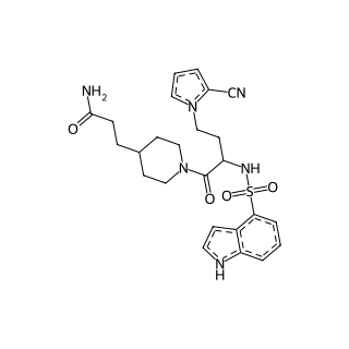 N#Cc1cccn1CCC(NS(=O)(=O)c1cccc2[nH]ccc12)C(=O)N1CCC(CCC(N)=O)CC1